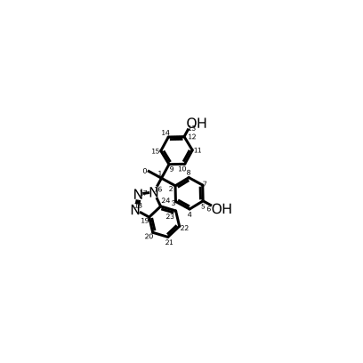 CC(c1ccc(O)cc1)(c1ccc(O)cc1)n1nnc2ccccc21